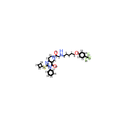 O=C(CNCCCCCOc1ccc(C(F)(F)F)cc1)N1CCc2nc(SC3CCC3)n(-c3ccccc3)c(=O)c2C1